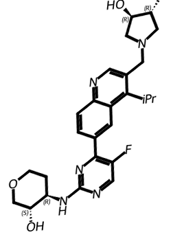 CC(C)c1c(CN2C[C@@H](O)[C@H](F)C2)cnc2ccc(-c3nc(N[C@@H]4CCOC[C@H]4O)ncc3F)cc12